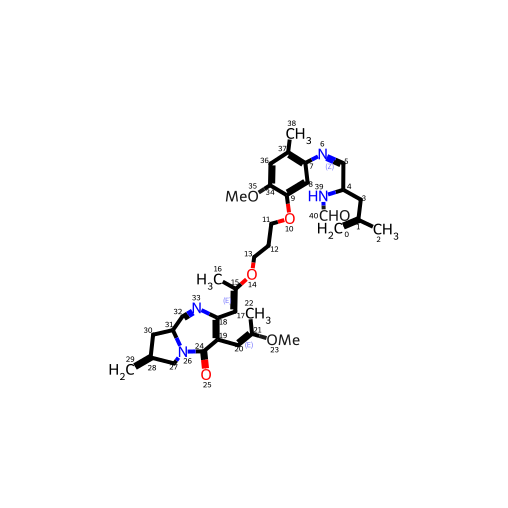 C=C(C)CC(/C=N\c1cc(OCCCO/C(C)=C/C2=C(/C=C(\C)OC)C(=O)N3CC(=C)CC3C=N2)c(OC)cc1C)NC=O